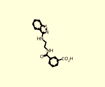 O=C(O)c1cccc(C(=O)NCCNc2nsc3ccccc23)c1